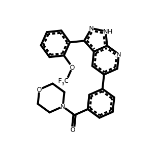 O=C(c1cccc(-c2cnc3[nH]nc(-c4ccccc4OC(F)(F)F)c3c2)c1)N1CCOCC1